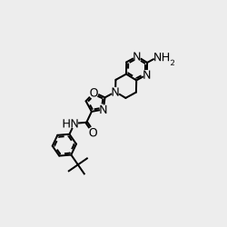 CC(C)(C)c1cccc(NC(=O)c2coc(N3CCc4nc(N)ncc4C3)n2)c1